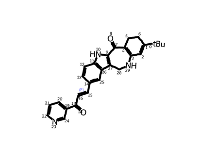 CC(C)(C)C1=CC2=C(CC1)C(=O)c1[nH]c3ccc(/C=C/C(=O)c4cccnc4)cc3c1CN2